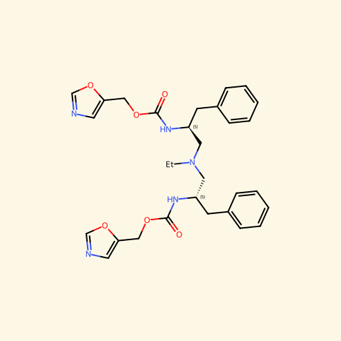 CCN(C[C@H](Cc1ccccc1)NC(=O)OCc1cnco1)C[C@H](Cc1ccccc1)NC(=O)OCc1cnco1